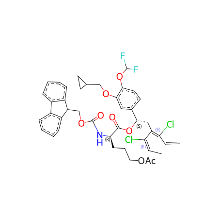 C=C/C(Cl)=C(C[C@H](OC(=O)[C@@H](CCCOC(C)=O)NC(=O)OCC1c2ccccc2-c2ccccc21)c1ccc(OC(F)F)c(OCC2CC2)c1)\C(Cl)=C/C